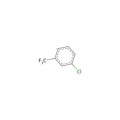 FC(F)(F)c1[c]ccc(Cl)c1